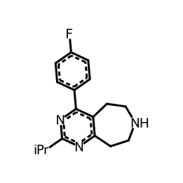 CC(C)c1nc2c(c(-c3ccc(F)cc3)n1)CCNCC2